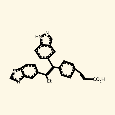 CCC(=C(c1ccc(C=CC(=O)O)cc1)c1ccc2[nH]ncc2c1)c1ccc2scnc2c1